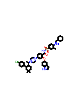 Cc1cc(S(=O)(=O)NC(=O)c2ccc(N3CCN(C(C)C4=C(c5ccc(Cl)cc5)CC(C)(C)CC4)CC3)cc2Oc2ccc3[nH]ccc3c2)ccc1NCC1CCCCC1